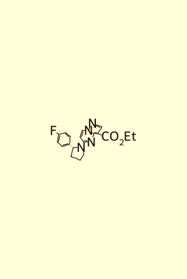 CCOC(=O)c1cnn2ccc(N3CCC[C@@H]3c3ccc(F)cc3)nc12